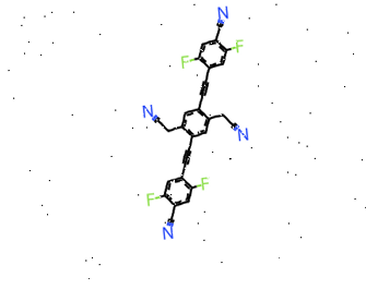 N#CCc1cc(C#Cc2cc(F)c(C#N)cc2F)c(CC#N)cc1C#Cc1cc(F)c(C#N)cc1F